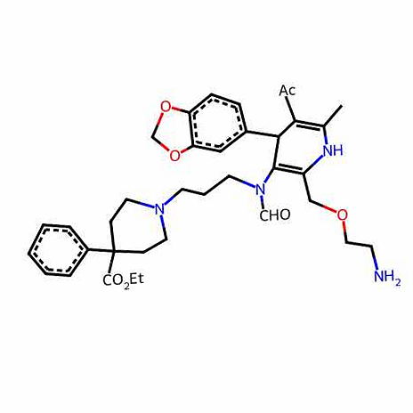 CCOC(=O)C1(c2ccccc2)CCN(CCCN(C=O)C2=C(COCCN)NC(C)=C(C(C)=O)C2c2ccc3c(c2)OCO3)CC1